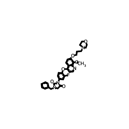 COc1c(OCCCN2CCOCC2)ccc2c(Oc3ccc(N4C(=O)CN(Cc5ccccc5)C4=O)cc3F)ccnc12